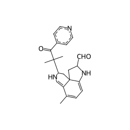 CC1=CC=C2NC(C=O)CC23CC(C(C)(C)C(=O)c2ccncc2)NC=C13